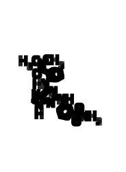 CN(C)C(=O)C1C2C=CC(C2)C1Nc1nc(Nc2cccc(S(N)(=O)=O)c2)nc2[nH]cnc12